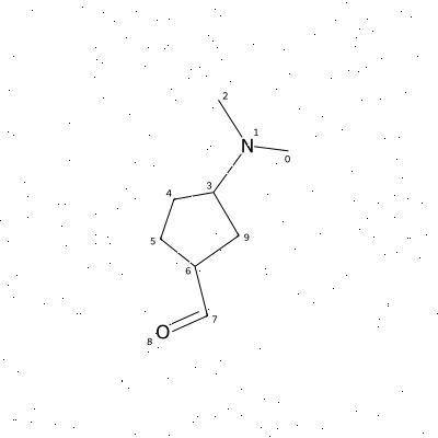 CN(C)C1CCC(C=O)C1